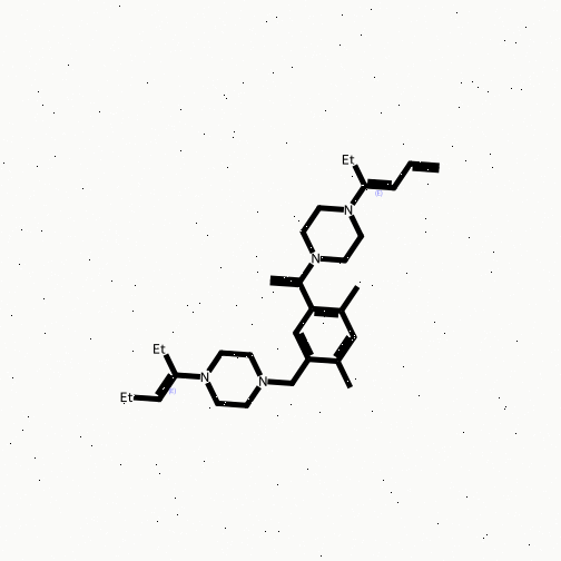 C=C/C=C(\CC)N1CCN(C(=C)c2cc(CN3CCN(/C(=C/CC)CC)CC3)c(C)cc2C)CC1